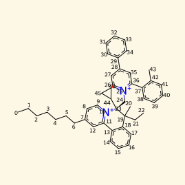 CCCCCCCc1cc[n+]2c(c1)-c1ccccc1C(C)(CC)[C@@]2(C[n+]1ccc(-c2ccccc2)cc1-c1ccccc1C)C1CC1